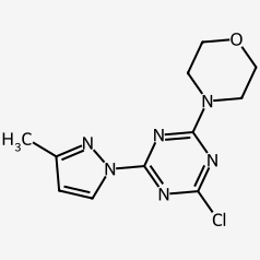 Cc1ccn(-c2nc(Cl)nc(N3CCOCC3)n2)n1